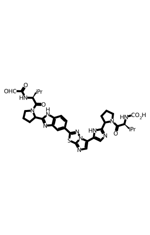 CC(C)[C@H](NC(=O)O)C(=O)N1CCCC1c1ncc(-c2cnc3sc(-c4ccc5[nH]c(C6CCCN6C(=O)[C@@H](NC(=O)C=O)C(C)C)nc5c4)nn23)[nH]1